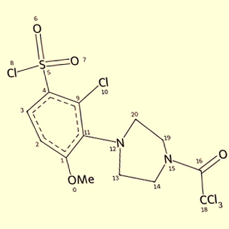 COc1ccc(S(=O)(=O)Cl)c(Cl)c1N1CCN(C(=O)C(Cl)(Cl)Cl)CC1